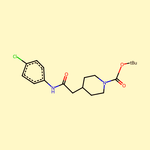 CC(C)(C)OC(=O)N1CCC(CC(=O)Nc2ccc(Cl)cc2)CC1